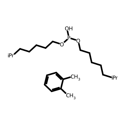 CC(C)CCCCCOP(O)OCCCCCC(C)C.Cc1ccccc1C